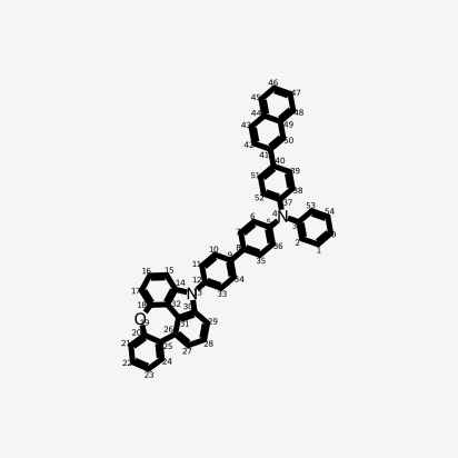 c1ccc(N(c2ccc(-c3ccc(-n4c5cccc6oc7ccccc7c7cccc4c7c65)cc3)cc2)c2ccc(-c3ccc4ccccc4c3)cc2)cc1